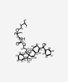 CC(C)CCOC(C)(C)CNC(=O)OCCN1c2ccccc2C(C)(C)C12C=Cc1cc(C(=O)c3ccccc3)ccc1O2